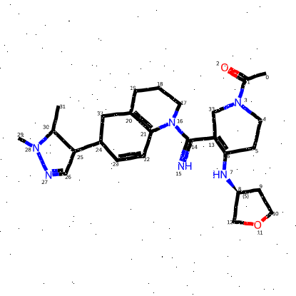 CC(=O)N1CCC(N[C@H]2CCOC2)=C(C(=N)N2CCCC3=C2C=CC(C2C=NN(C)C2C)C3)C1